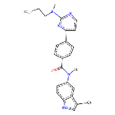 CCN(C(=O)c1ccc(-c2ccnc(N(C)CCS(=O)(=O)O)n2)cc1)c1ccc2[nH]cc(C#N)c2c1